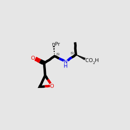 CCC[C@H](N[C@@H](C)C(=O)O)C(=O)C1CO1